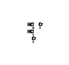 Cl.Cl.[Cr].[Cr]